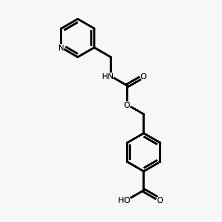 O=C(NCc1cccnc1)OCc1ccc(C(=O)O)cc1